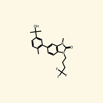 Cc1ccc(C(C)(C)O)cc1-c1ccc2c(c1)n(C)c(=O)n2CCCC(F)(F)F